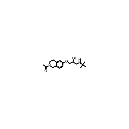 CC(=O)N1CCc2cc(OCC(O)CNC(C)(C)C)ccc2C1